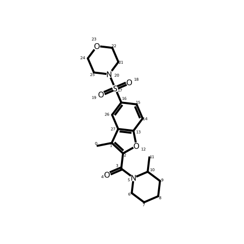 Cc1c(C(=O)N2CCCCC2C)oc2ccc(S(=O)(=O)N3CCOCC3)cc12